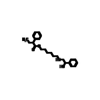 CCC(C(=O)OCCCCCCNCC(O)c1ccccc1)c1ccccc1